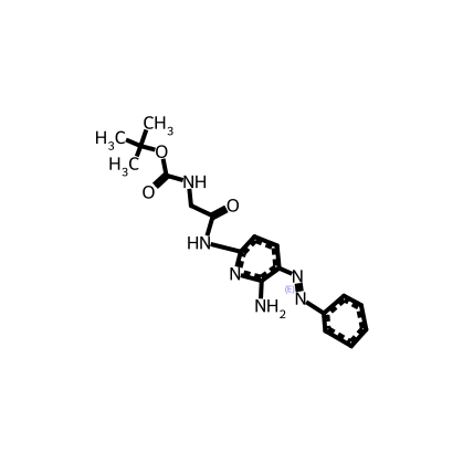 CC(C)(C)OC(=O)NCC(=O)Nc1ccc(/N=N/c2ccccc2)c(N)n1